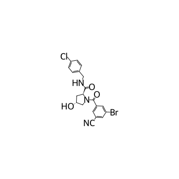 N#Cc1cc(Br)cc(C(=O)N2C[C@H](O)C[C@H]2C(=O)NCc2ccc(Cl)cc2)c1